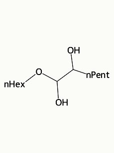 CCCCCCOC(O)C(O)CCCCC